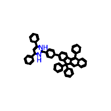 C1=CCCC(C2=C3C(=CC4C=CC=CC24)C(c2ccccc2)(c2ccccc2)c2cc(C4C=CC(C5NC(C6C=CC=CC6)=CC(c6ccccc6)N5)=CC4)ccc23)=C1